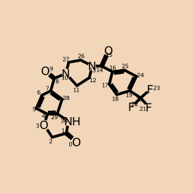 O=C1COc2ccc(C(=O)N3CCN(C(=O)c4ccc(C(F)(F)F)cc4)CC3)cc2N1